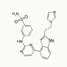 NS(=O)(=O)c1cccc(Nc2nccc(-c3cccc4[nH]c(CCn5ccnc5)cc34)n2)c1